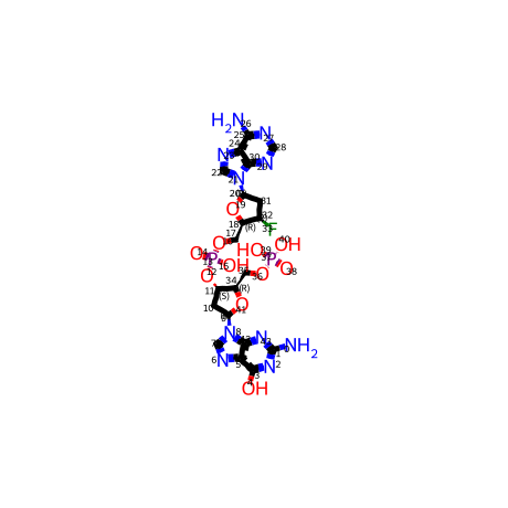 Nc1nc(O)c2ncn([C@H]3C[C@H](OP(=O)(O)OC[C@H]4O[C@@H](n5cnc6c(N)ncnc65)C[C@H]4F)[C@@H](COP(=O)(O)O)O3)c2n1